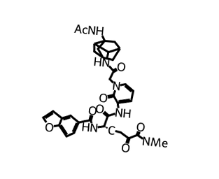 CNC(=O)C(=O)CC[C@H](NC(=O)c1ccc2occc2c1)C(=O)Nc1cccn(CC(=O)NC2C3CC4CC2C(NC(C)=O)(C4)C3)c1=O